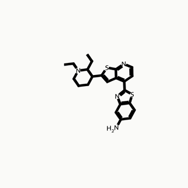 CCC1C(c2cc3c(-c4nc5cc(N)ccc5s4)ccnc3s2)CCCN1CC